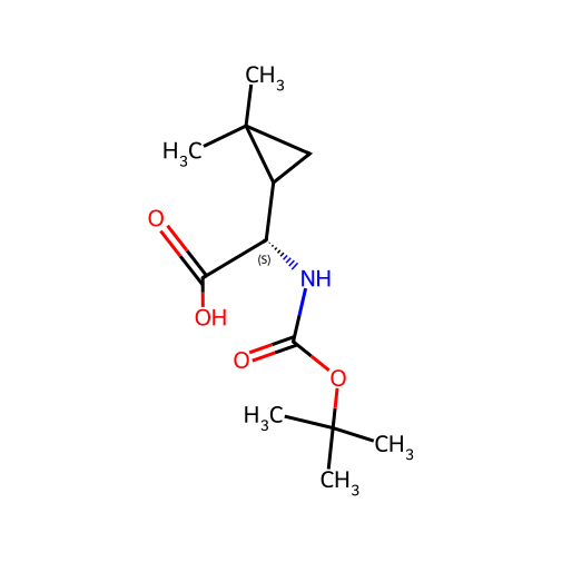 CC(C)(C)OC(=O)N[C@H](C(=O)O)C1CC1(C)C